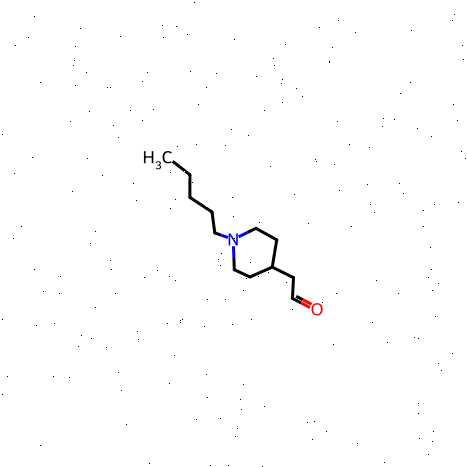 CCCCCN1CCC(CC=O)CC1